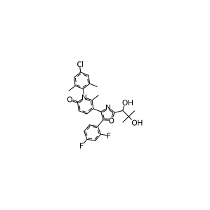 Cc1cc(Cl)cc(C)c1-n1c(C)c(-c2nc(C(O)C(C)(C)O)oc2-c2ccc(F)cc2F)ccc1=O